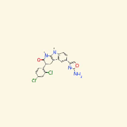 Cn1c(=O)c(-c2ccc(Cl)cc2Cl)cc2c3cc(-c4coc(N)n4)ccc3n(C)c21